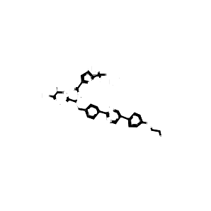 CCCOc1ccc(-c2cnc(-c3ccc(C[C@H](NC(=O)c4ccc(C(C)(C)C)s4)C(=O)N[C@H](C)C(=O)O)cc3)nc2)cc1